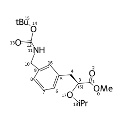 COC(=O)[C@H](Cc1cccc(CNC(=O)OC(C)(C)C)c1)OC(C)C